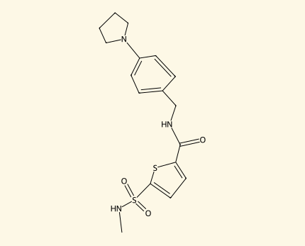 CNS(=O)(=O)c1ccc(C(=O)NCc2ccc(N3CCCC3)cc2)s1